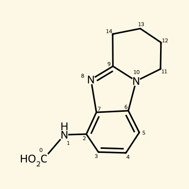 O=C(O)Nc1cccc2c1nc1n2CCCC1